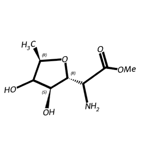 COC(=O)C(N)[C@H]1O[C@H](C)C(O)[C@@H]1O